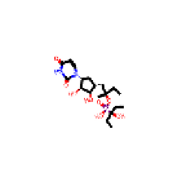 CCC(C)(C[C@H]1C[C@@H](n2ccc(=O)[nH]c2=O)[C@H](O)[C@@H]1O)OP(=O)(O)C(O)(CC)CC